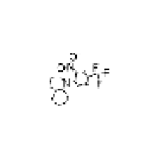 O=[N+]([O-])c1cc(C(F)(F)F)ccc1N1CCCC2CCCCC21